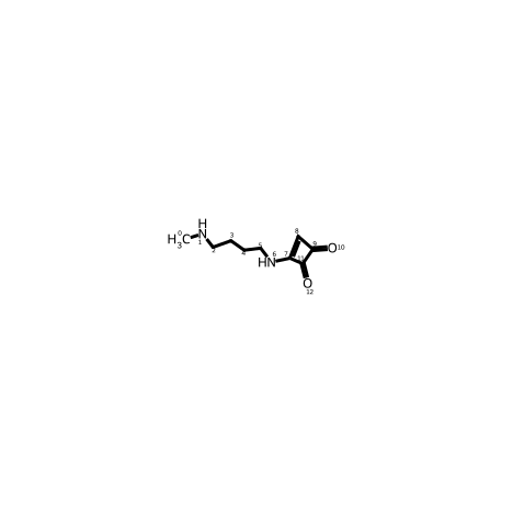 CNCCCCNc1cc(=O)c1=O